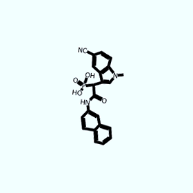 Cn1cc(C(C(=O)Nc2ccc3ccccc3c2)P(=O)(O)O)c2cc(C#N)ccc21